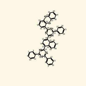 c1ccc(-c2nc(-c3ccccc3)nc(-c3ccc(-c4nc(-c5ccccc5)nc(-c5cccc6c5Sc5ccccc5S6)n4)c4ccccc34)n2)cc1